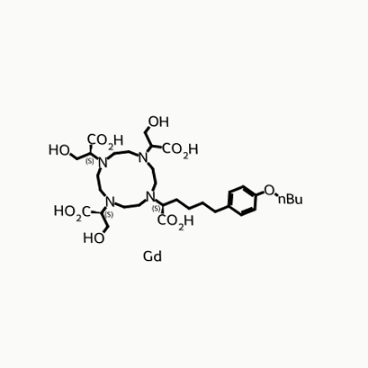 CCCCOc1ccc(CCCC[C@@H](C(=O)O)N2CCN(C(CO)C(=O)O)CCN([C@@H](CO)C(=O)O)CCN([C@@H](CO)C(=O)O)CC2)cc1.[Gd]